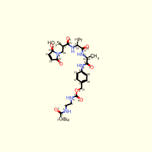 CC(C)COC(=O)NCCNC(=O)OCc1ccc(NC(=O)[C@H](C)NC(=O)[C@@H](NC(=O)C(CN2C(=O)C=CC2=O)S(=O)(=O)O)C(C)C)cc1